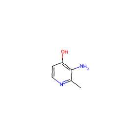 Cc1nccc(O)c1N